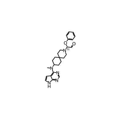 CN(c1ncnc2[nH]ccc12)C1CCC2(CC1)CCN([C@H](C=O)Oc1ccccc1)CC2